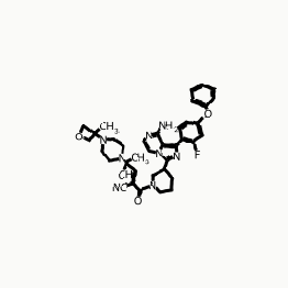 CC(C)(C=C(C#N)C(=O)N1CCCC(c2nc(-c3ccc(Oc4ccccc4)cc3F)c3c(N)nccn23)C1)N1CCN(C2(C)COC2)CC1